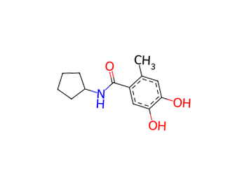 Cc1cc(O)c(O)cc1C(=O)NC1CCCC1